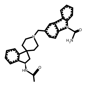 CC(=O)N[C@@H]1CC2(CCN(Cc3ccc4c(c3)c3ccccc3n4C(N)=O)CC2)c2ccccc21